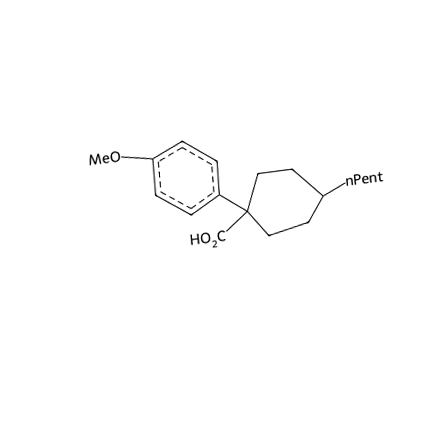 CCCCCC1CCC(C(=O)O)(c2ccc(OC)cc2)CC1